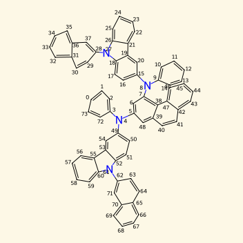 c1ccc(N(c2cc(N(c3ccccc3)c3ccc4c(c3)c3ccccc3n4-c3ccc4ccccc4c3)c3c(ccc4ccccc43)c2)c2ccc3c(c2)c2ccccc2n3-c2ccc3ccccc3c2)cc1